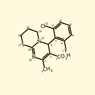 CC1=C(C(=O)O)C(c2c(F)cccc2Cl)N2CCCSC2=N1